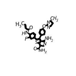 CC=CC(=O)Nc1ccc(-c2sc3c(C(N)=O)cnc(N)c3c2-c2ccc(Oc3nccc(C)n3)cc2)cc1F